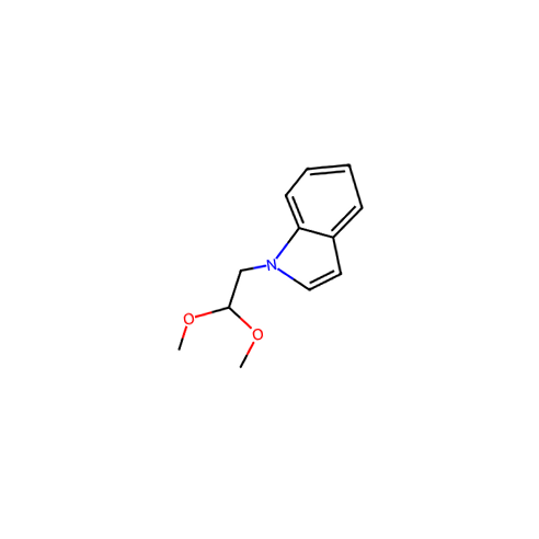 COC(Cn1ccc2ccccc21)OC